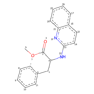 COC(=O)C(Cc1ccccc1)Nc1ccc2ccccc2n1